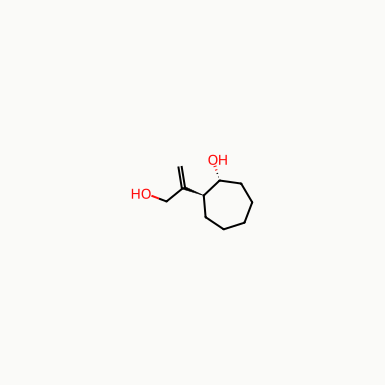 C=C(CO)[C@@H]1CCCCC[C@H]1O